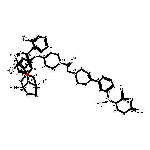 CN(c1cccc(C2=CCN(CC(=O)N3CCC(Oc4cccc(N5[C@@H]6CC[C@H]5CN(c5cc(-c7ccccc7O)nnc5N)C6)c4)CC3)CC2)c1)C1CCC(=O)NC1=O